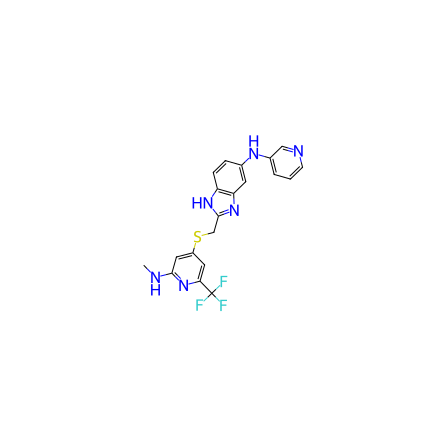 CNc1cc(SCc2nc3cc(Nc4cccnc4)ccc3[nH]2)cc(C(F)(F)F)n1